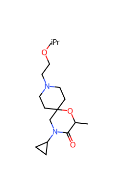 CC(C)OCCN1CCC2(CC1)CN(C1CC1)C(=O)C(C)O2